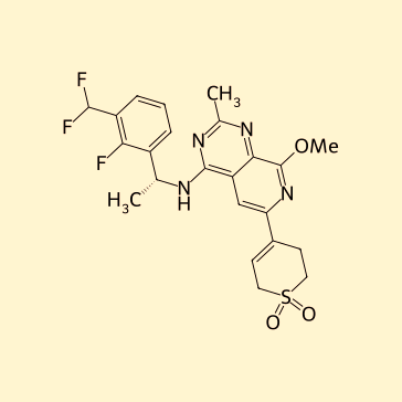 COc1nc(C2=CCS(=O)(=O)CC2)cc2c(N[C@H](C)c3cccc(C(F)F)c3F)nc(C)nc12